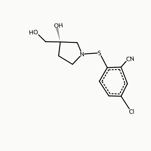 N#Cc1cc(Cl)ccc1SN1CC[C@@](O)(CO)C1